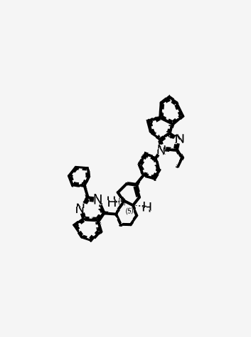 CCc1nc2c3ccccc3ccc2n1-c1ccc(C2=C[C@H]3CCCC(c4nc(-c5ccccc5)nc5ccccc45)[C@H]3CC2)cc1